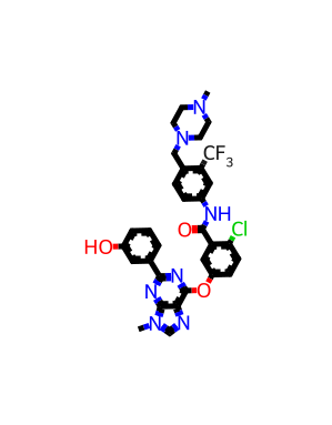 CN1CCN(Cc2ccc(NC(=O)c3cc(Oc4nc(-c5cccc(O)c5)nc5c4ncn5C)ccc3Cl)cc2C(F)(F)F)CC1